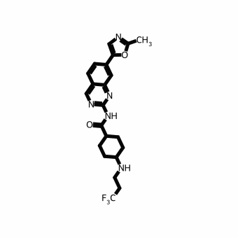 Cc1ncc(-c2ccc3cnc(NC(=O)C4CCC(NCCC(F)(F)F)CC4)nc3c2)o1